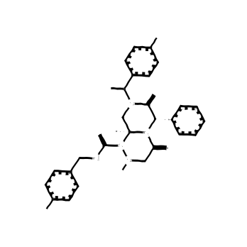 CC(c1ccc(F)cc1)N1C[C@H]2N(C(=O)CN(C)N2C(=O)NCc2ccc(F)cc2)[C@@H](c2ccccc2)C1=O